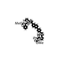 COC(=O)NC(C(=O)N1CCC[C@@H]1c1ncc(-c2ccc3cc(-c4ccc(-c5cnc(C6CCCN6C(=O)C(NC(=O)OC)C(C)C)[nH]5)cc4)ccc3c2)[nH]1)c1ccccc1